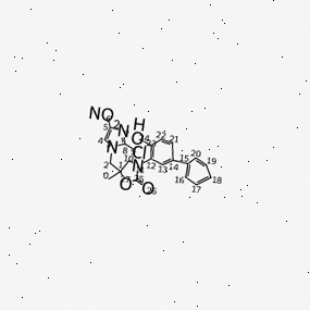 CC1(Cn2cc([N+](=O)[O-])nc2Cl)CN(c2cc(-c3ccccc3)ccc2O)C(=O)O1